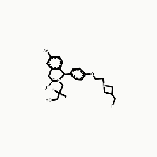 CC(=O)c1ccc2c(c1)C[C@H](C)N(CC(F)(F)CO)C2c1ccc(OCCN2CC(CF)C2)cc1